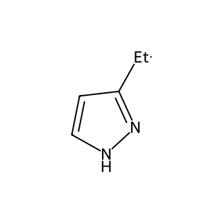 C[CH]c1cc[nH]n1